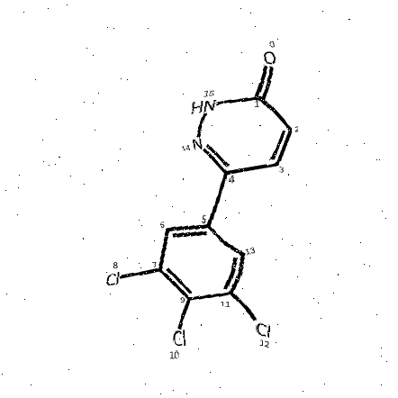 O=c1ccc(-c2cc(Cl)c(Cl)c(Cl)c2)n[nH]1